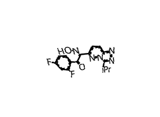 CC(C)c1nnc2ccc(/C(=N/O)C(=O)c3ccc(F)cc3F)nn12